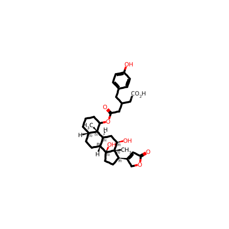 C[C@]12C(OC(=O)CC(CC(=O)O)Cc3ccc(O)cc3)CCC[C@H]1CC[C@@H]1[C@@H]2C[C@@H](O)[C@]2(C)[C@@H](C3=CC(=O)OC3)CC[C@]12O